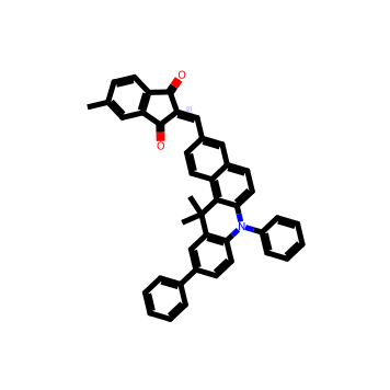 Cc1ccc2c(c1)C(=O)/C(=C\c1ccc3c4c(ccc3c1)N(c1ccccc1)c1ccc(-c3ccccc3)cc1C4(C)C)C2=O